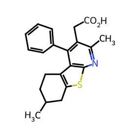 Cc1nc2sc3c(c2c(-c2ccccc2)c1CC(=O)O)CCC(C)C3